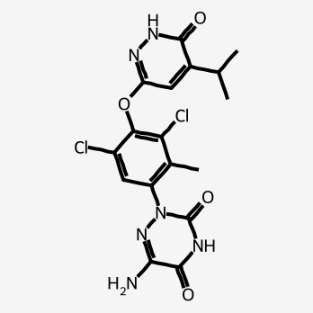 Cc1c(-n2nc(N)c(=O)[nH]c2=O)cc(Cl)c(Oc2cc(C(C)C)c(=O)[nH]n2)c1Cl